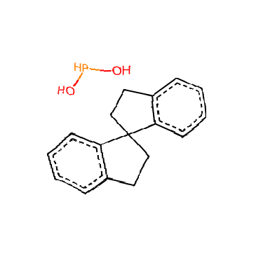 OPO.c1ccc2c(c1)CCC21CCc2ccccc21